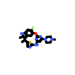 CCc1cnc(Nc2cc(N3CCN(C)CC3)nc(Oc3cc4cc(C)[nH]c4cc3F)n2)s1